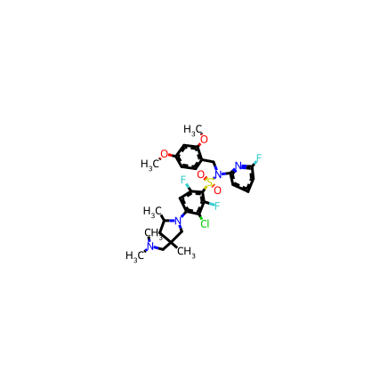 COc1ccc(CN(c2cccc(F)n2)S(=O)(=O)c2c(F)cc(N3CC(C)(CN(C)C)CC3C)c(Cl)c2F)c(OC)c1